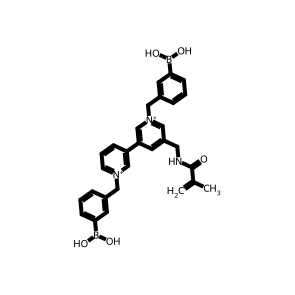 C=C(C)C(=O)NCc1cc(-c2ccc[n+](Cc3cccc(B(O)O)c3)c2)c[n+](Cc2cccc(B(O)O)c2)c1